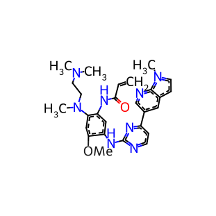 C=CC(=O)Nc1cc(Nc2nccc(-c3cnc4c(ccn4C)c3)n2)c(OC)cc1N(C)CCN(C)C